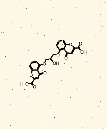 CC(=O)c1cc(=O)c2c(OCC(O)COc3cccc4oc(C(=O)O)cc(=O)c34)cccc2o1